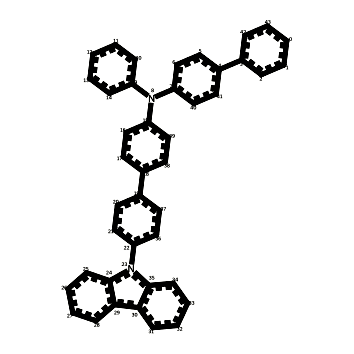 c1ccc(-c2ccc(N(c3ccccc3)c3ccc(-c4ccc(-n5c6ccccc6c6ccccc65)cc4)cc3)cc2)cc1